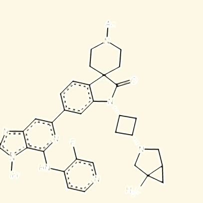 CC(=O)N1CCC2(CC1)C(=O)N([C@H]1C[C@@H](N3CC4CC4(C)C3)C1)c1cc(-c3cc4ncn(C(C)C)c4c(Nc4ccncc4F)n3)ccc12